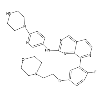 Fc1ccc(OCCN2CCOCC2)cc1-c1nccc2cnc(Nc3ccc(N4CCNCC4)nc3)nc12